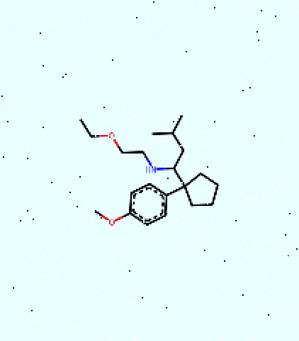 CCOCCNC(CC(C)C)C1(c2ccc(OC)cc2)CCCC1